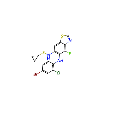 Fc1c(Nc2ccc(Br)cc2Cl)c(NSC2CC2)cc2scnc12